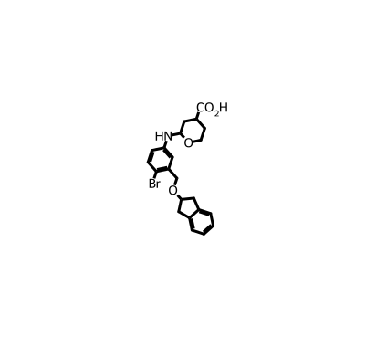 O=C(O)C1CCOC(Nc2ccc(Br)c(COC3Cc4ccccc4C3)c2)C1